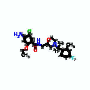 [2H]C([2H])(c1ccc(F)cc1C)N1CCOC(CNC(=O)c2cc(Cl)c(N)cc2OCC)C1